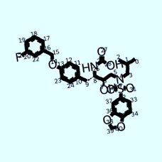 CC(C)CN(C[C@@H](O)[C@H](Cc1ccc(OCc2cccc(F)c2)cc1)NC(=O)O)S(=O)(=O)c1ccc2c(c1)OCO2